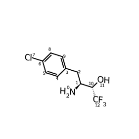 N[C@@H](Cc1ccc(Cl)cc1)[C@H](O)C(F)(F)F